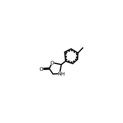 Cc1ccc(C2NCC(=O)O2)cc1